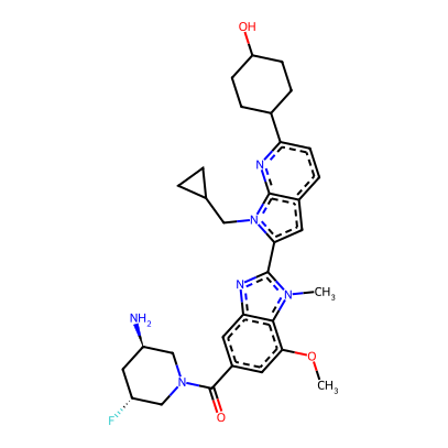 COc1cc(C(=O)N2C[C@H](N)C[C@@H](F)C2)cc2nc(-c3cc4ccc(C5CCC(O)CC5)nc4n3CC3CC3)n(C)c12